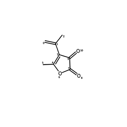 C=C(C)C1=C(C)OC(=O)C1=O